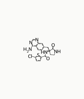 Nc1ncnc2cc(C[C@]3(NC(=O)c4ccc(Cl)s4)CCNC3=O)ccc12